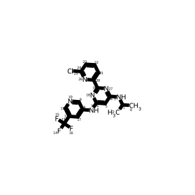 CC(C)Nc1cc(Nc2cncc(C(F)(F)F)c2)nc(-c2cccc(Cl)n2)n1